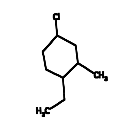 CCC1CCC(Cl)CC1C